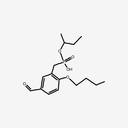 CCCCOc1ccc(C=O)cc1CP(=O)(O)OC(C)CC